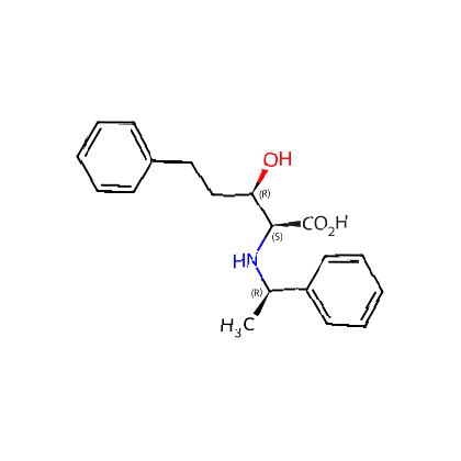 C[C@@H](N[C@H](C(=O)O)[C@H](O)CCc1ccccc1)c1ccccc1